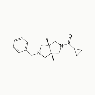 C[C@@]12CN(Cc3ccccc3)C[C@]1(C)CN(C(=O)C1CC1)C2